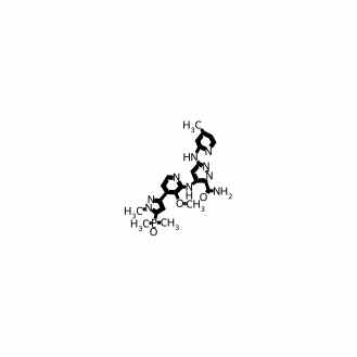 COc1c(-c2cc(P(C)(C)=O)n(C)n2)ccnc1Nc1cc(Nc2cc(C)ccn2)nnc1C(N)=O